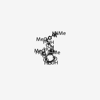 CNc1ncc(-c2ccc([C@@H](OC)[C@@H](CF)NC(=O)CCN(C)[C@H]3C[C@@H](C)O[C@@H](O[C@@H]4[C@@H](C)C([C@H]5C[C@@](C)(OC)[C@@H](O)[C@H](C)O5)[C@@H](C)C(=O)O[C@H](I)[C@@](C)(O)[C@H](O)[C@@H](C)C(=O)[C@H](C)C[C@@]4(C)OC)[C@@H]3O)cc2)cn1